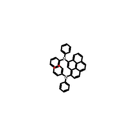 c1ccc(N(c2ccccc2)c2cc3c(N(c4ccccc4)c4ccccc4)ccc4ccc5cccc2c5c43)cc1